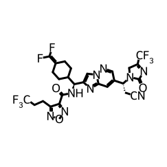 N#CC[C@H](c1cnn2cc([C@@H](NC(=O)c3nonc3CCC(F)(F)F)C3CCC(=C(F)F)CC3)nc2c1)N1CC(C(F)(F)F)=NC1=O